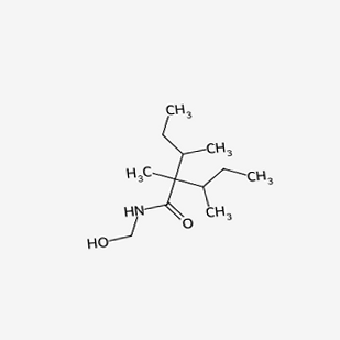 CCC(C)C(C)(C(=O)NCO)C(C)CC